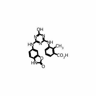 Cc1c(Nc2nc(O)nc(Nc3ccc4[nH]c(=O)oc4c3)n2)cccc1C(=O)O